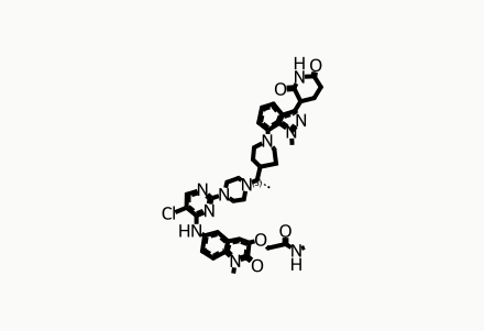 CNC(=O)COc1cc2cc(Nc3nc(N4CCN([C@@H](C)C5CCN(c6cccc7c(C8CCC(=O)NC8=O)nn(C)c67)CC5)CC4)ncc3Cl)ccc2n(C)c1=O